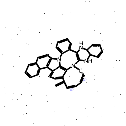 C=C1/C=C\C=C/Cn2c3c(c4ccccc4n4c5ccc6ccccc6c5c5ccc1c2c54)NC1C=CC=CC1N3